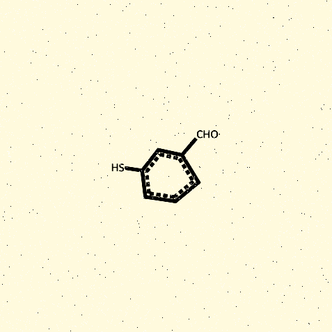 O=[C]c1cccc(S)c1